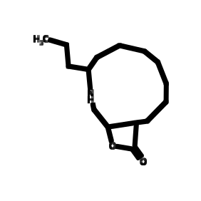 CCCC1CCCCCCCC2C(=O)OC2CN1